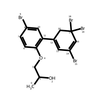 CC(O)COc1ccc(Br)cc1C1=CC(Br)=CC(Br)(Br)C1